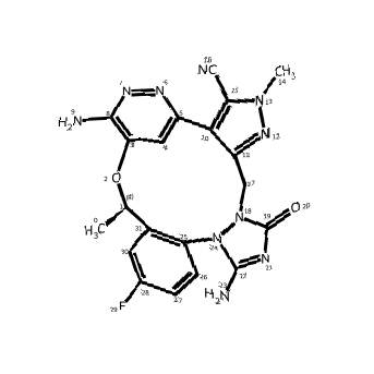 C[C@H]1Oc2cc(nnc2N)-c2c(nn(C)c2C#N)Cn2c(=O)nc(N)n2-c2ccc(F)cc21